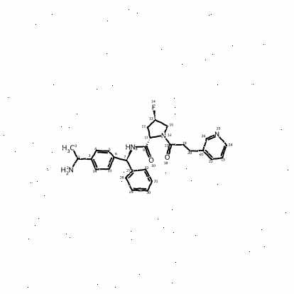 CC(N)c1ccc([C@@H](NC(=O)[C@@H]2C[C@@H](F)CN2C(=O)CCc2cccnc2)c2ccccc2)cc1